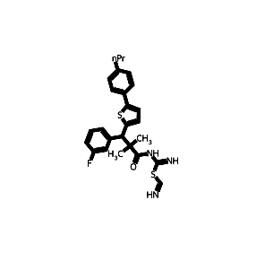 CCCc1ccc(-c2ccc(C(c3cccc(F)c3)C(C)(C)C(=O)NC(=N)SC=N)s2)cc1